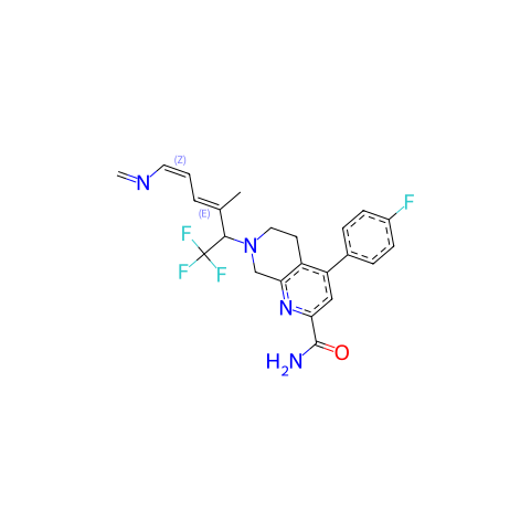 C=N/C=C\C=C(/C)C(N1CCc2c(-c3ccc(F)cc3)cc(C(N)=O)nc2C1)C(F)(F)F